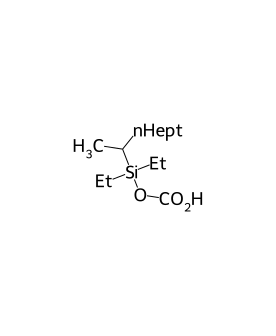 CCCCCCCC(C)[Si](CC)(CC)OC(=O)O